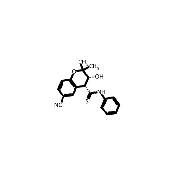 CC1(C)Oc2ccc(C#N)cc2[C@@H](C(=S)Nc2ccccc2)[C@H]1O